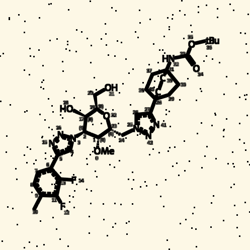 CO[C@@H]1[C@@H](n2cc(-c3ccc(C)c(F)c3F)nn2)[C@@H](O)[C@@H](CO)O[C@@H]1Cn1cc(C23CCC(NC(=O)OC(C)(C)C)(CC2)CC3)nn1